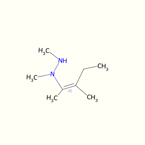 CC/C(C)=C(/C)N(C)NC